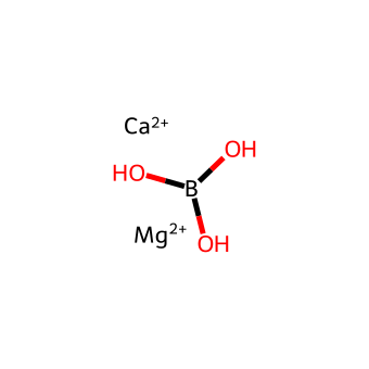 OB(O)O.[Ca+2].[Mg+2]